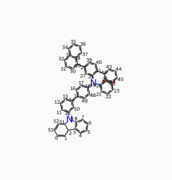 C1=CC2c3ccccc3N(c3cccc(-c4ccc(N(c5ccccc5)c5cc(-c6cccc7ccccc67)ccc5-c5ccccc5)cc4)c3)C2C=C1